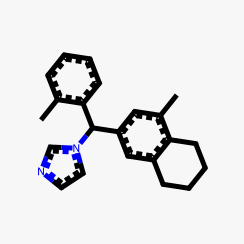 Cc1ccccc1C(c1cc(C)c2c(c1)CCCC2)n1ccnc1